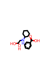 O=C(O)c1ccccc1.OC(O)CNC1CCCCC1